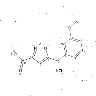 COc1cccc(Cc2cc(C(=O)O)no2)c1.Cl